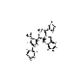 CN(c1cscn1)[C@@H](Cc1ccccc1)C(=O)Nc1cc(-c2ccncc2)nn1C